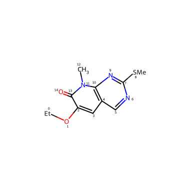 CCOc1cc2cnc(SC)nc2n(C)c1=O